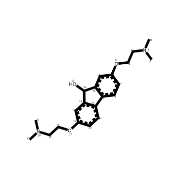 CN(C)CCOc1ccc2c(c1)C(O)c1cc(OCCN(C)C)ccc1-2